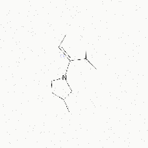 C/C=C(\C(C)C)N1CCC(C)C1